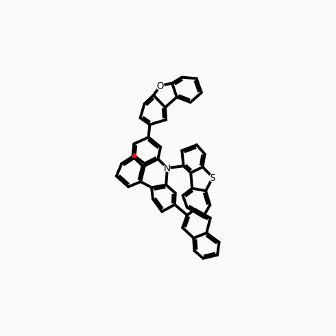 c1ccc(-c2ccc(-c3ccc4ccccc4c3)cc2N(c2cccc(-c3ccc4oc5ccccc5c4c3)c2)c2cccc3sc4ccccc4c23)cc1